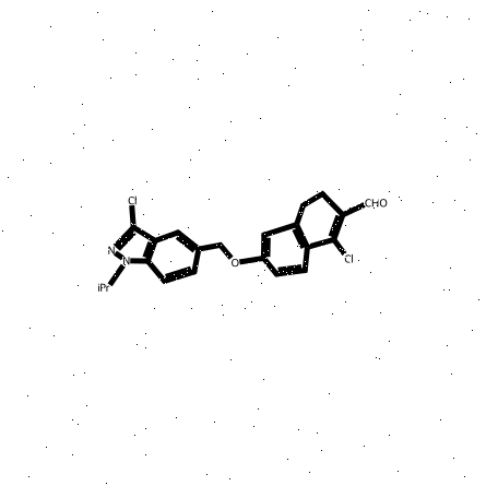 CC(C)n1nc(Cl)c2cc(COc3ccc4c(c3)CCC(C=O)=C4Cl)ccc21